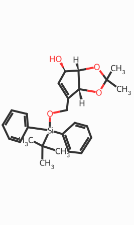 CC1(C)O[C@H]2[C@H](O)C=C(CO[Si](c3ccccc3)(c3ccccc3)C(C)(C)C)[C@H]2O1